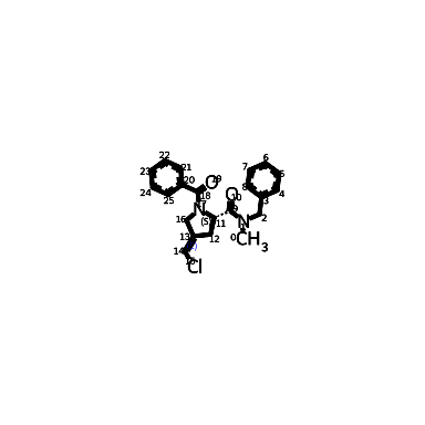 CN(Cc1ccccc1)C(=O)[C@@H]1C/C(=C\Cl)CN1C(=O)c1ccccc1